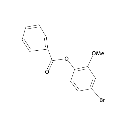 COc1cc(Br)ccc1OC(=O)c1ccccc1